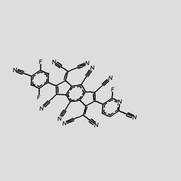 N#CC(C#N)=C1C(c2cc(F)c(C#N)cc2F)=C(C#N)c2c(C#N)c3c(c(C#N)c21)C(C#N)=C(c1ccc(C#N)nc1F)C3=C(C#N)C#N